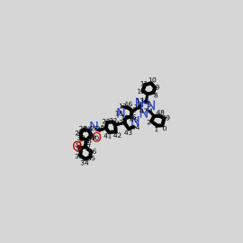 c1ccc(-c2nc(-c3ccccc3)nc(-c3ccnc4c(-c5ccc(-c6nc7ccc8oc9ccccc9c8c7o6)cc5)ccnc34)n2)cc1